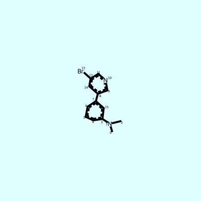 CN(C)c1cccc(-c2cncc(Br)c2)c1